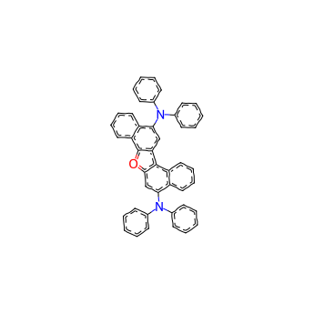 c1ccc(N(c2ccccc2)c2cc3c(oc4cc(N(c5ccccc5)c5ccccc5)c5ccccc5c43)c3ccccc23)cc1